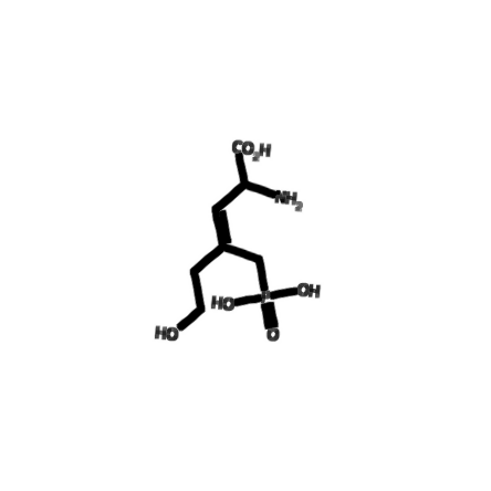 NC(C=C(CCO)CP(=O)(O)O)C(=O)O